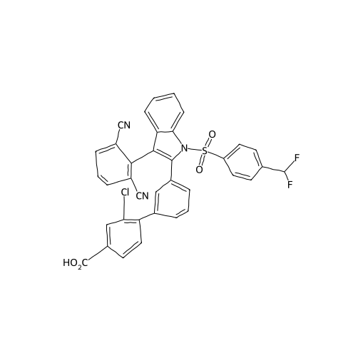 N#Cc1cccc(C#N)c1-c1c(-c2cccc(-c3ccc(C(=O)O)cc3Cl)c2)n(S(=O)(=O)c2ccc(C(F)F)cc2)c2ccccc12